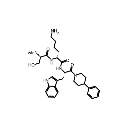 CN[C@H](CO)C(=O)N[C@H](CCCCN)C(=O)N[C@@H](Cc1c[nH]c2ccccc12)C(=O)N1CCC(c2ccccc2)CC1